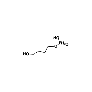 O=[PH](O)OCCCCO